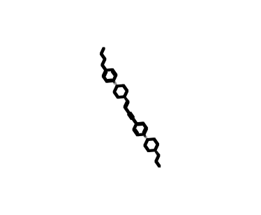 CCCCc1ccc([C@H]2CC[C@H](/C=C/C#Cc3ccc([C@H]4CC[C@H](CCC)CC4)cc3)CC2)cc1